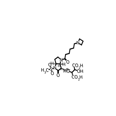 CCC[C@H]1C(=O)N(S(C)(=O)=O)[C@H]2CCN(C(=O)CCCCCN3CCC3)[C@H]12.O=C(O)C(O)C(O)C(=O)O